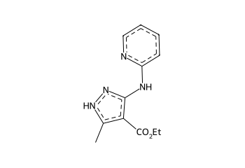 CCOC(=O)c1c(Nc2ccccn2)n[nH]c1C